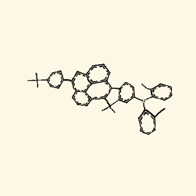 Cc1ccccc1N(c1ccc2c(c1)C(C)(C)c1c-2c2cccc3cc(-c4ccc(C(C)(C)C)cc4)c4cccc1c4c32)c1ccccc1C